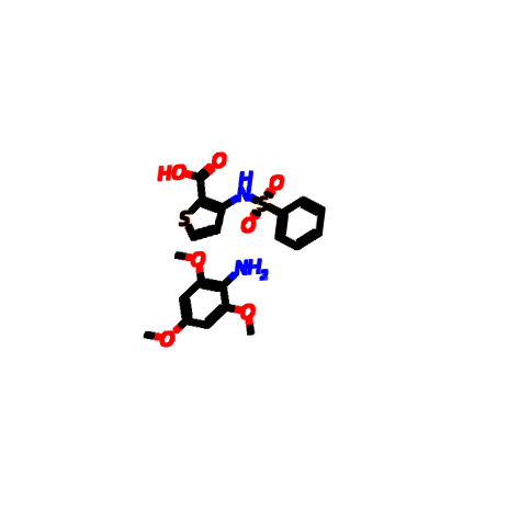 COc1cc(OC)c(N)c(OC)c1.O=C(O)c1sccc1NS(=O)(=O)c1ccccc1